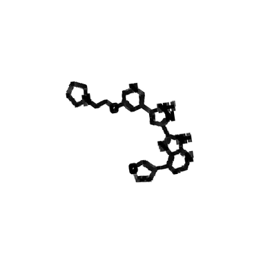 c1cc(-c2ccoc2)c2nc(-c3cc(-c4cncc(OCCN5CCCC5)c4)[nH]n3)[nH]c2n1